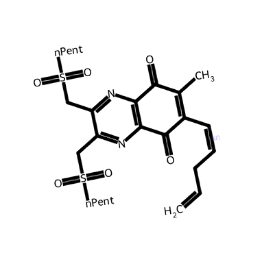 C=CC/C=C\C1=C(C)C(=O)c2nc(CS(=O)(=O)CCCCC)c(CS(=O)(=O)CCCCC)nc2C1=O